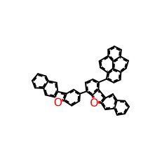 c1ccc2cc3c(cc2c1)oc1ccc(-c2ccc(-c4ccc5ccc6cccc7ccc4c5c67)c4c2oc2cc5ccccc5cc24)cc13